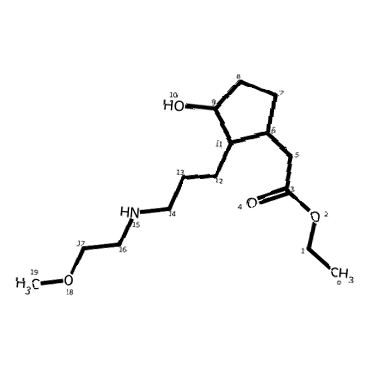 CCOC(=O)CC1CCC(O)C1CCCNCCOC